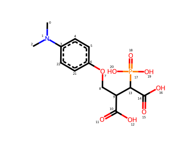 CN(C)c1ccc(OCC(C(=O)O)C(C(=O)O)P(=O)(O)O)cc1